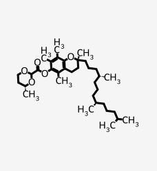 Cc1c(C)c2c(c(C)c1OC(=O)C1OCC[C@@H](C)O1)CC[C@@](C)(CCC[C@H](C)CCC[C@H](C)CCCC(C)C)O2